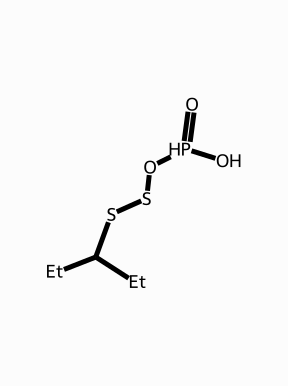 CCC(CC)SSO[PH](=O)O